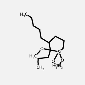 CCCCCC1CCC[Si](OC)(OC)C1(CCC)OC